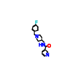 O=C(NCC1CCN(Cc2ccc(F)cc2)CC1)c1cccnc1